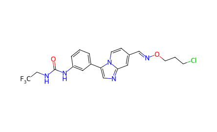 O=C(NCC(F)(F)F)Nc1cccc(-c2cnc3cc(C=NOCCCCl)ccn23)c1